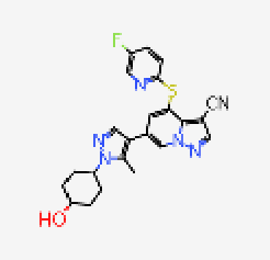 Cc1c(-c2cc(Sc3ccc(F)cn3)c3c(C#N)cnn3c2)cnn1C1CCC(O)CC1